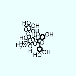 CC1OC(OCC2OC(Oc3c(-c4ccc(O)c(O)c4)oc4cc(O)cc(O)c4c3=O)C(O)C(O)C2O)C(O)C(O)C1O.O